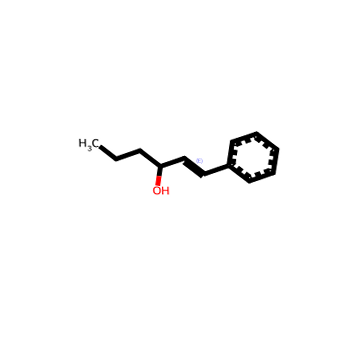 CCCC(O)/C=C/c1ccccc1